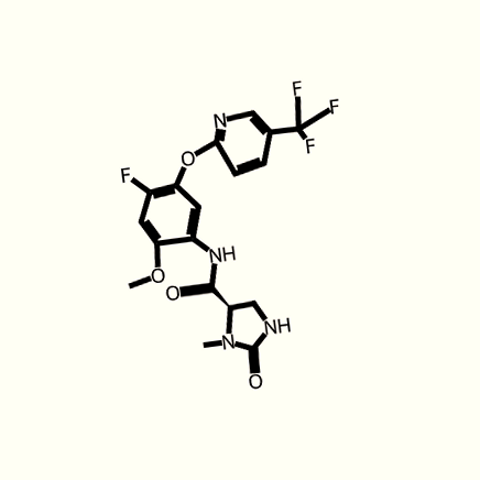 COc1cc(F)c(Oc2ccc(C(F)(F)F)cn2)cc1NC(=O)[C@H]1CNC(=O)N1C